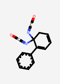 O=C=NC1(N=C=O)CC=CC=C1c1ccccc1